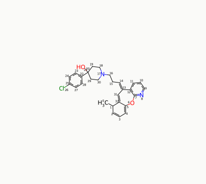 CC1C=CC=C2Oc3ncccc3C(=CCCN3CCC(O)(c4ccc(Cl)cc4)CC3)C=C21